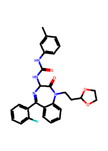 Cc1cccc(NC(=O)NC2N=C(c3ccccc3F)c3ccccc3N(CCC3OCCO3)C2=O)c1